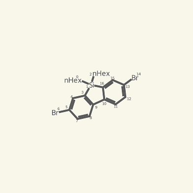 CCCCCC[Si]1(CCCCCC)c2cc(Br)ccc2-c2ccc(Br)cc21